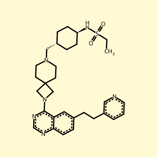 CCS(=O)(=O)N[C@H]1CC[C@H](CN2CCC3(CC2)CN(c2ncnc4ccc(CCc5cccnc5)cc24)C3)CC1